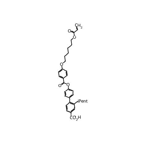 C=CC(=O)OCCCCCCOc1ccc(C(=O)Oc2ccc(-c3ccc(C(=O)O)cc3C(C)CCC)cc2)cc1